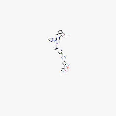 CCc1cccc2cc(O)cc(-c3ncc4c(N5CC6CCC(C5)N6)nc(OCC5(CN6CCC(F)(CN7CCN(c8ccc9c(c8)n(C)c(=O)n9C8CCC(=O)NC8=O)CC7)CC6)CC5)nc4c3F)c12